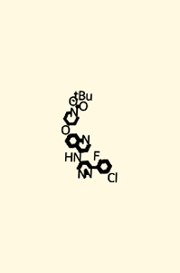 CC(C)(C)OC(=O)N1CCC(Oc2ccc3c(Nc4cnnc(-c5cc(Cl)ccc5F)c4)ccnc3c2)CC1